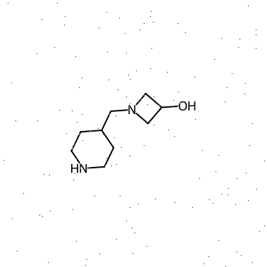 OC1CN(CC2CCNCC2)C1